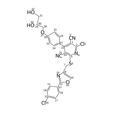 N#Cc1c(Cl)nc(SCc2coc(-c3ccc(Cl)cc3)n2)c(C#N)c1-c1ccc(OC[C@H](O)CO)cc1